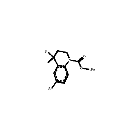 CC(C)(C)OC(=O)N1CCC(C)(C#N)c2cc(Br)ccc21